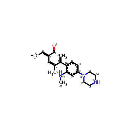 C=C(/C(C)=C\C(C=O)=C/C)c1ccc(N2CCNCC2)cc1NC